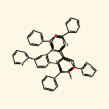 Cc1c(-c2ccccc2)nc(-c2ccccc2-c2cc(-c3ccccn3)ccc2-c2ccccc2-c2nc(-c3ccccc3)nc(-c3ccccc3)n2)nc1-c1ccccc1